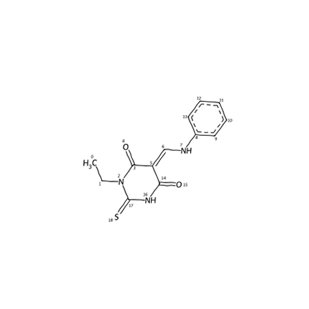 CCN1C(=O)C(=CNc2ccccc2)C(=O)NC1=S